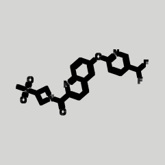 CS(=O)(=O)C1CN(C(=O)c2ccc3cc(Oc4ccc(C(F)F)cn4)ccc3n2)C1